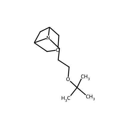 CC(C)(C)OCCCN1C2COCC1C2